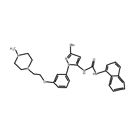 CN1CCN(CCOc2cccc(-n3nc(C(C)(C)C)cc3NC(=O)Nc3cccc4ccccc34)c2)CC1